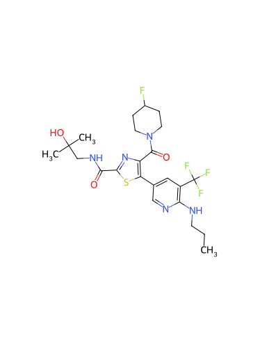 CCCNc1ncc(-c2sc(C(=O)NCC(C)(C)O)nc2C(=O)N2CCC(F)CC2)cc1C(F)(F)F